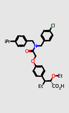 CCO[C@H](C(=O)O)C(CC)c1ccc(OCC(=O)N(Cc2ccc(Cl)cc2)Cc2ccc(C(C)C)cc2)cc1